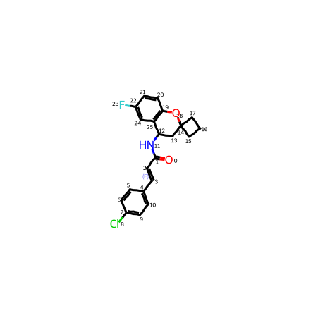 O=C(/C=C/c1ccc(Cl)cc1)NC1CC2(CCC2)Oc2ccc(F)cc21